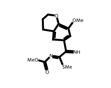 COC(=O)N=C(SC)C(=N)c1cc2c(c(OC)c1)OCCC2